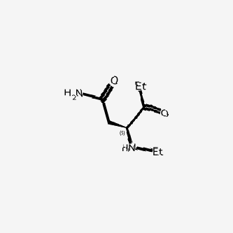 CCN[C@@H](CC(N)=O)C(=O)CC